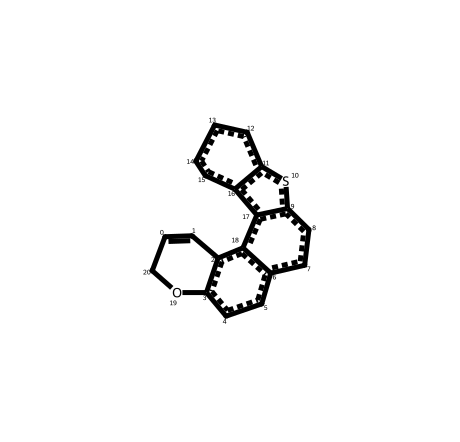 C1=Cc2c(ccc3ccc4sc5ccccc5c4c23)OC1